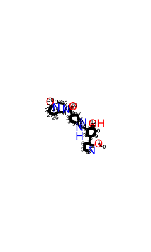 COc1ncccc1-c1ccc(O)c(-c2nc3cc(C(=O)N4CCn5c(cccc5=O)C4)ccc3[nH]2)c1